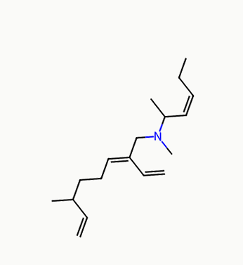 C=C/C(=C\CCC(C)C=C)CN(C)C(C)/C=C\CC